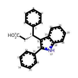 O=C(O)C[C@H](c1ccccc1)c1c(-c2ccccc2)[nH]c2ccccc12